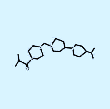 CC(C)C(=O)N1CCN(CN2CCC(N3CCC(C(C)C)CC3)CC2)CC1